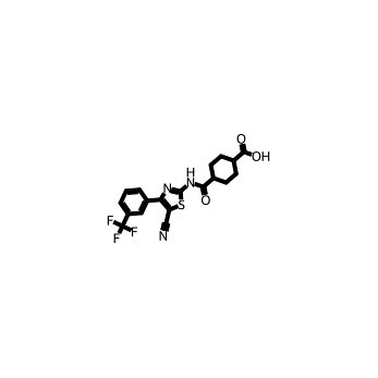 N#Cc1sc(NC(=O)C2CCC(C(=O)O)CC2)nc1-c1cccc(C(F)(F)F)c1